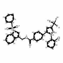 O=C(OCc1cn(S(=O)(=O)c2ccccc2)c2ccccc12)c1ccc(-c2cc(C(F)(F)F)nn2-c2ccccc2Cl)cc1